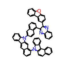 c1cc(-c2nc3ccccc3nc2-c2ccc3oc4ccccc4c3c2)c2ccc(-n3c4ccccc4c4cc5cccc(-n6c7ccccc7c7c8ccccc8ccc76)c5cc43)cc2c1